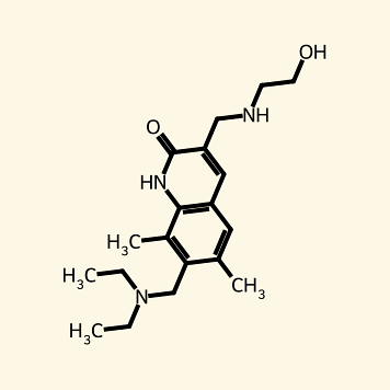 CCN(CC)Cc1c(C)cc2cc(CNCCO)c(=O)[nH]c2c1C